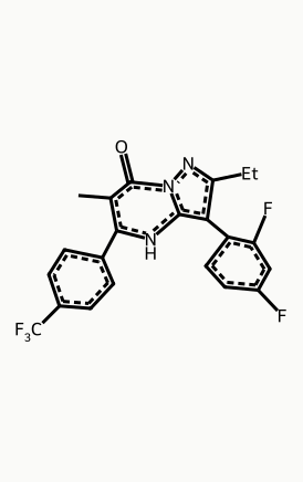 CCc1nn2c(=O)c(C)c(-c3ccc(C(F)(F)F)cc3)[nH]c2c1-c1ccc(F)cc1F